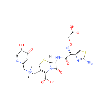 C[N+](C)(CC1=CC(=O)C(O)C=N1)CC1=C(C(=O)[O-])N2C(=O)[C@@H](NC(=O)C(=NOCC(=O)O)c3csc(N)n3)[C@@H]2SC1